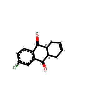 O=C1c2ccc(Cl)cc2C(=O)C2CC=CCC12